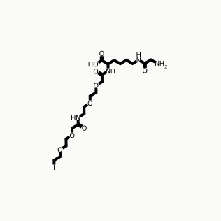 NCC(=O)NCCCCC(NC(=O)COCCOCCNC(=O)COCCOCCI)C(=O)O